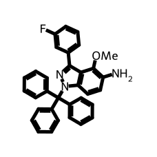 COc1c(N)ccc2c1c(-c1cccc(F)c1)nn2C(c1ccccc1)(c1ccccc1)c1ccccc1